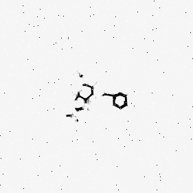 C[C@H]1[C@H](OCc2ccccc2)[C@H]2N=C(N(C)C)S[C@H]2O[C@@H]1C=O